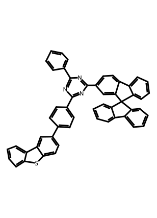 c1ccc(-c2nc(-c3ccc(-c4ccc5sc6ccccc6c5c4)cc3)nc(-c3ccc4c(c3)C3(c5ccccc5-c5ccccc53)c3ccccc3-4)n2)cc1